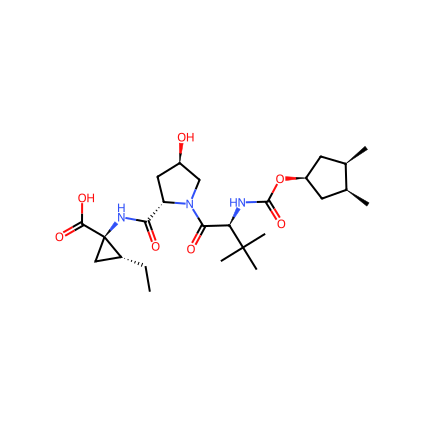 CC[C@@H]1C[C@]1(NC(=O)[C@@H]1C[C@@H](O)CN1C(=O)[C@@H](NC(=O)O[C@H]1C[C@@H](C)[C@@H](C)C1)C(C)(C)C)C(=O)O